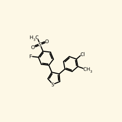 Cc1cc(-c2cscc2-c2ccc(S(C)(=O)=O)c(F)c2)ccc1Cl